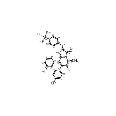 Cn1c(=O)c(-c2ccc(Cl)cc2)c(-c2ccnc(F)c2)c2nn(Cc3ccc(C(F)(F)F)nc3)c(=O)n21